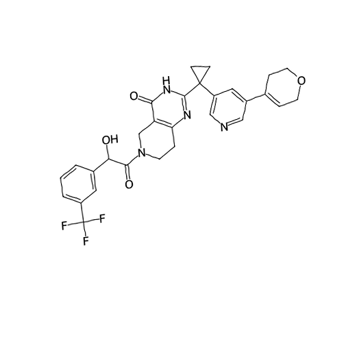 O=C(C(O)c1cccc(C(F)(F)F)c1)N1CCc2nc(C3(c4cncc(C5=CCOCC5)c4)CC3)[nH]c(=O)c2C1